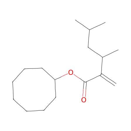 C=C(C(=O)OC1CCCCCCC1)C(C)CC(C)C